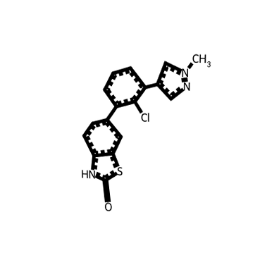 Cn1cc(-c2cccc(-c3ccc4[nH]c(=O)sc4c3)c2Cl)cn1